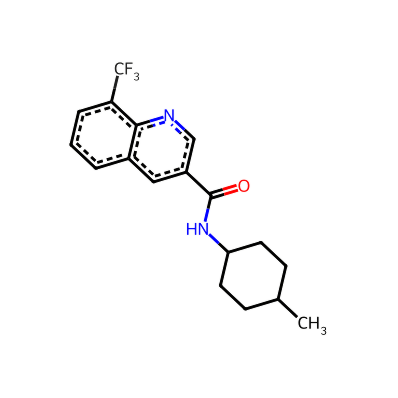 CC1CCC(NC(=O)c2cnc3c(C(F)(F)F)cccc3c2)CC1